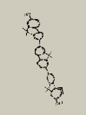 CC1(C)c2cc(O)ccc2-c2ccc(-c3ccc4c(c3)C(C)(C)c3cc(-c5ccc6c(c5)C(C)(C)c5cc(O)ccc5-6)ccc3-4)cc21